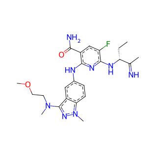 CC[C@@H](Nc1nc(Nc2ccc3c(c2)c(N(C)CCOC)nn3C)c(C(N)=O)cc1F)C(C)=N